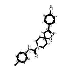 Cc1ccc(NC(=O)N2CCC3(CC2)CC(c2ccc(Cl)cc2)=NO3)cc1